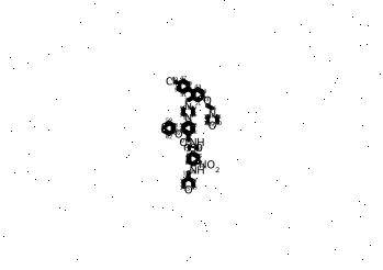 O=C(NS(=O)(=O)c1ccc(NCC2CCOCC2)c([N+](=O)[O-])c1)c1ccc(N2CCN(Cc3cc(OCCN4CCOCC4)ccc3-c3ccc(Cl)cc3)CC2)cc1Oc1ccccc1